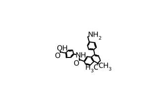 CC1(C)CC=C(c2ccc(CN)cc2)c2cc(C(=O)Nc3ccc(C(=O)O)cc3)ccc21